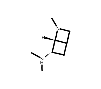 CN1CC2C[C@H]([SiH](C)C)[C@@H]21